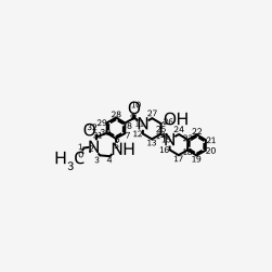 CCN1CCNc2cc(C(=O)N3CC[C@H](N4CCc5ccccc5C4)[C@@H](O)C3)ccc2C1=O